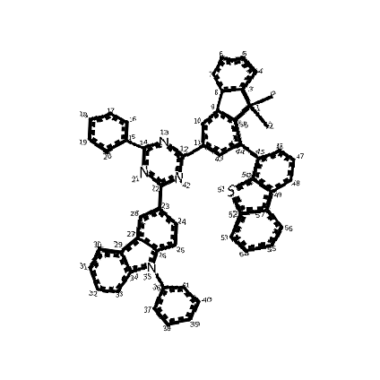 CC1(C)c2ccccc2-c2cc(-c3nc(-c4ccccc4)nc(-c4ccc5c(c4)c4ccccc4n5-c4ccccc4)n3)cc(-c3cccc4c3sc3ccccc34)c21